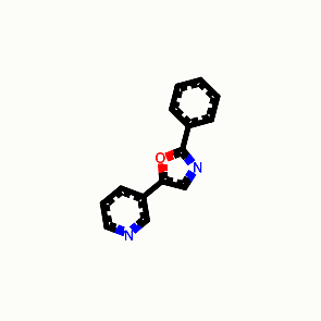 c1ccc(-c2ncc(-c3cccnc3)o2)cc1